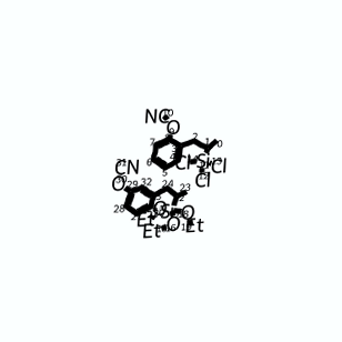 CC(Cc1ccccc1OC#N)[Si](Cl)(Cl)Cl.CCO[Si](OCC)(OCC)C(C)Cc1cccc(OC#N)c1